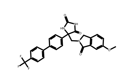 COc1ccc2c(c1)C(=O)N(CC1(c3ccc(-c4ccc(C(F)(F)F)cc4)cc3)NC(=O)NC1=O)C2